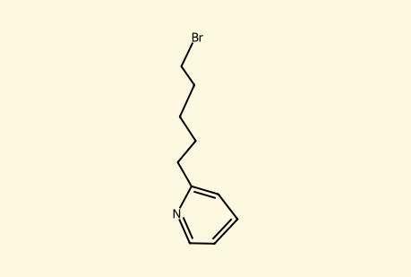 BrCCCCCc1ccccn1